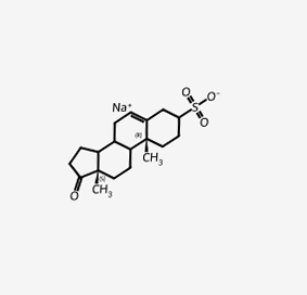 C[C@]12CCC(S(=O)(=O)[O-])CC1=CCC1C2CC[C@]2(C)C(=O)CCC12.[Na+]